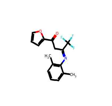 Cc1cccc(C)c1N=C(CC(=O)c1ccco1)C(F)(F)F